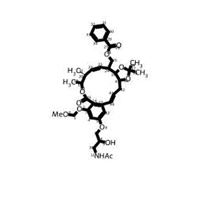 COCOc1cc(OCC(O)CNC(C)=O)cc2c1C(=O)OC(C)[C@H](C)/C=C\C(COC(=O)c1ccccc1)C1OC(C)(C)OC1C/C=C/2